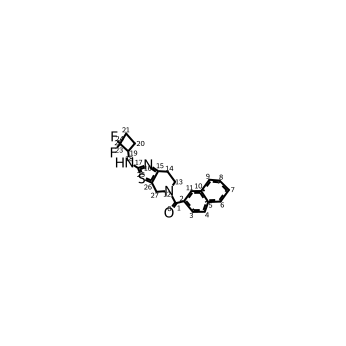 O=C(c1ccc2ccccc2c1)N1CCc2nc(NC3CCC3(F)F)sc2C1